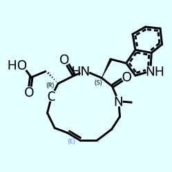 CN1CCC/C=C/CCC[C@H](CC(=O)O)C(=O)N[C@@H](Cc2c[nH]c3ccccc23)C1=O